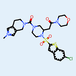 Cn1cc2c(c1)CN(C(=O)N1CCN(S(=O)(=O)c3cc4ccc(Cl)cc4s3)C(CC(=O)N3CCOCC3)C1)CC2